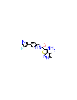 Cc1nnc2sc(C(=O)NCc3ccc(-c4cncc(F)c4)cc3)c(N)c2c1C